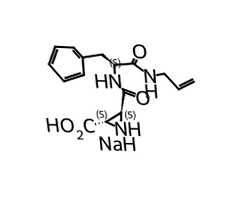 C=CCNC(=O)[C@H](Cc1ccccc1)NC(=O)[C@H]1N[C@@H]1C(=O)O.[NaH]